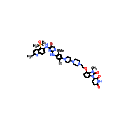 CCc1cc(Nc2ncc(Br)c(Nc3ccc4nc(C)ccc4c3P(C)(C)=O)n2)c(OC)cc1N1CCC(N2CCN(CCOc3cccc4c3n(C)c(=O)n4C3CCC(=O)NC3=O)CC2)CC1